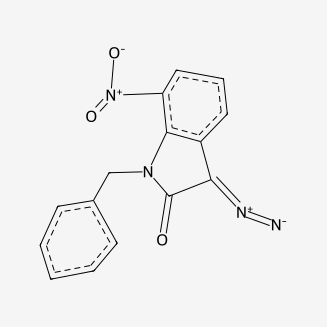 [N-]=[N+]=C1C(=O)N(Cc2ccccc2)c2c1cccc2[N+](=O)[O-]